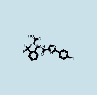 O=C(O)C[C@H](NC(=O)c1csc(-c2ccc(Cl)cc2)n1)c1ccccc1C(F)(F)F